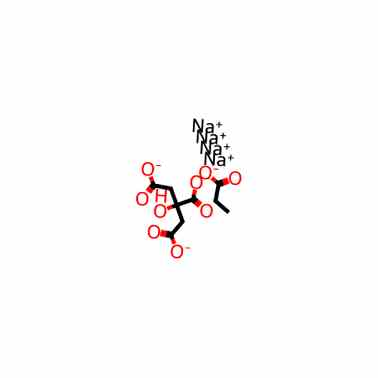 CCC(=O)[O-].O=C([O-])CC(O)(CC(=O)[O-])C(=O)[O-].[Na+].[Na+].[Na+].[Na+]